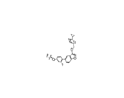 Fc1cc(OC(F)(F)F)ccc1-c1ccc2onc(OCc3nnc(C4CC4)o3)c2c1